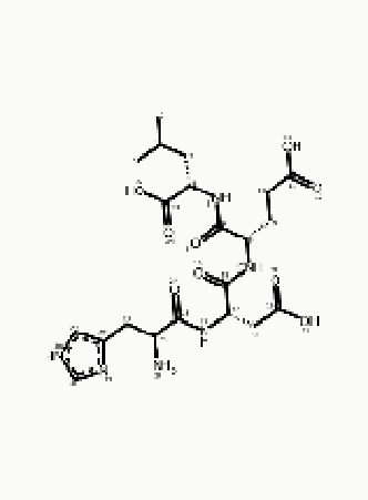 CC(C)C[C@H](NC(=O)[C@H](CCC(=O)O)NC(=O)[C@H](CC(=O)O)NC(=O)[C@@H](N)Cc1c[nH]cn1)C(=O)O